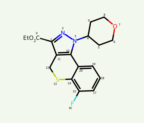 CCOC(=O)c1nn(C2CCOCC2)c2c1CSc1c(F)cccc1-2